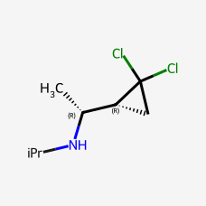 CC(C)N[C@H](C)[C@H]1CC1(Cl)Cl